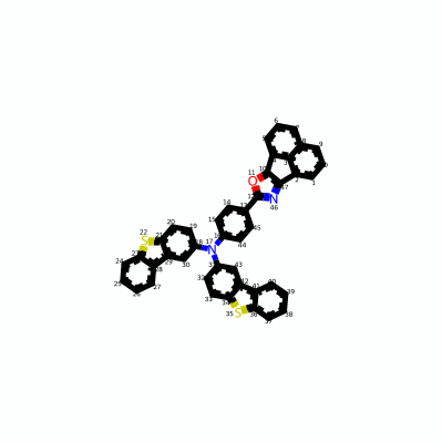 c1cc2c3c(cccc3c1)-c1oc(-c3ccc(N(c4ccc5sc6ccccc6c5c4)c4ccc5sc6ccccc6c5c4)cc3)nc1-2